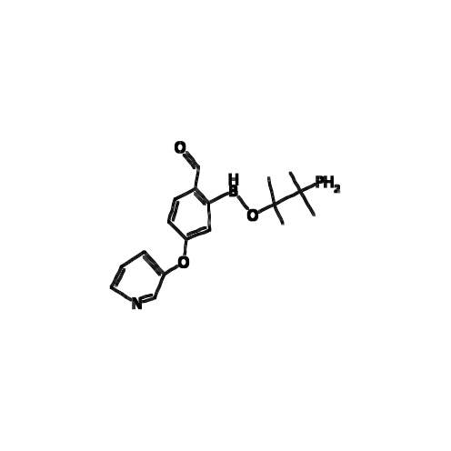 CC(C)(P)C(C)(C)OBc1cc(Oc2cccnc2)ccc1C=O